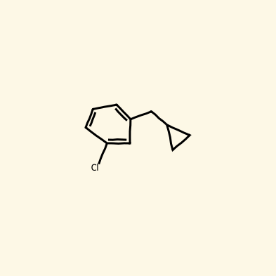 Clc1cccc(CC2CC2)c1